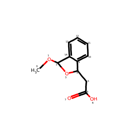 COC1OC(CC(=O)O)c2ccccc21